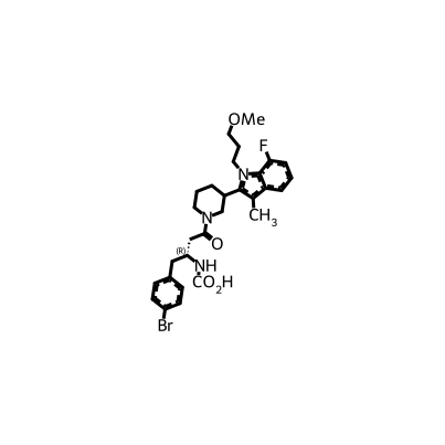 COCCCn1c(C2CCCN(C(=O)C[C@@H](Cc3ccc(Br)cc3)NC(=O)O)C2)c(C)c2cccc(F)c21